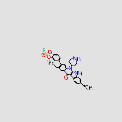 C#Cc1ccc2c(c1)[nH]c1c2c(=O)c2cc(CC(C)C)c(-c3cccc(OS(=O)(=O)F)c3)cc2n1C1CCNCC1